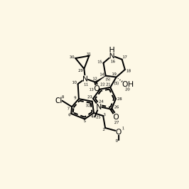 COCCc1ccc(Cl)c(CN(C(=O)[C@H]2CNCC[C@@]2(O)c2ccn(C)c(=O)c2)C2CC2)c1